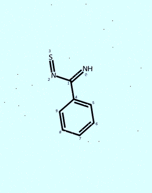 N=C(N=S)c1ccccc1